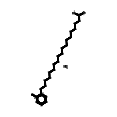 CCN(CC)CCCCCCCCCCCCCCCCCCc1ccccc1C.Cl